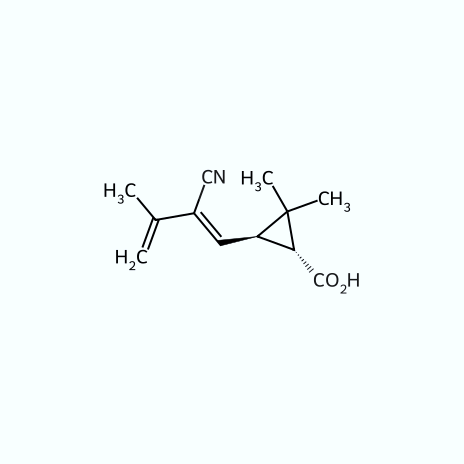 C=C(C)/C(C#N)=C/[C@@H]1[C@@H](C(=O)O)C1(C)C